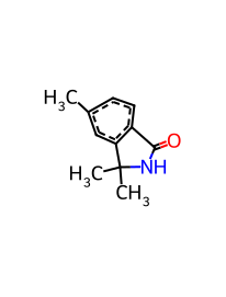 Cc1ccc2c(c1)C(C)(C)NC2=O